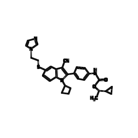 CC(OC(=O)Nc1ccc(-c2c(C#N)c3cc(SCCn4ccnc4)ccc3n2C2CCC2)cc1)C1CC1